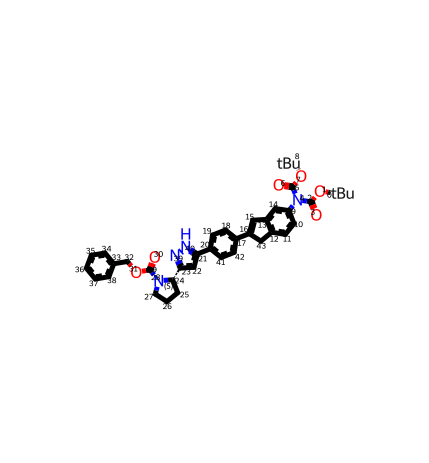 CC(C)(C)OC(=O)N(C(=O)OC(C)(C)C)c1ccc2c(c1)C=C(c1ccc(-c3cc([C@@H]4CCCN4C(=O)OCc4ccccc4)n[nH]3)cc1)C2